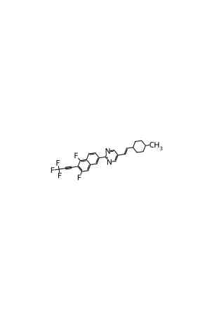 CC1CCC(/C=C/c2cnc(-c3ccc4c(F)c(C#CC(F)(F)F)c(F)cc4c3)nc2)CC1